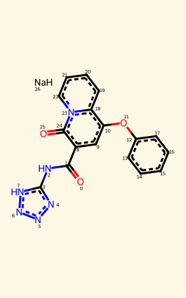 O=C(Nc1nnn[nH]1)c1cc(Oc2ccccc2)c2ccccn2c1=O.[NaH]